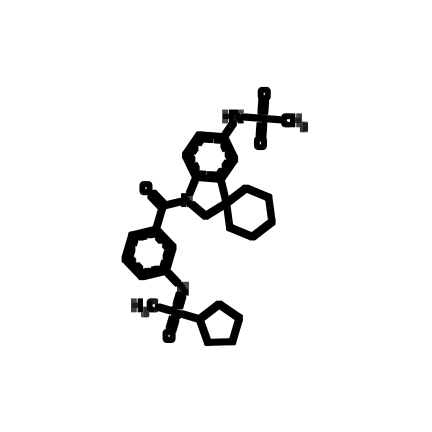 CS(=O)(=O)Nc1ccc2c(c1)C1(CCCCC1)CN2C(=O)c1cccc(N=S(C)(=O)C2CCCC2)c1